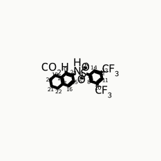 O=C(O)c1c(NS(=O)(=O)c2cc(C(F)(F)F)cc(C(F)(F)F)c2)ccc2c1CCCC2